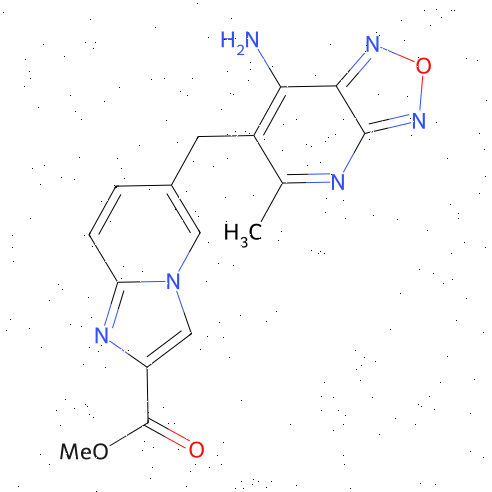 COC(=O)c1cn2cc(Cc3c(C)nc4nonc4c3N)ccc2n1